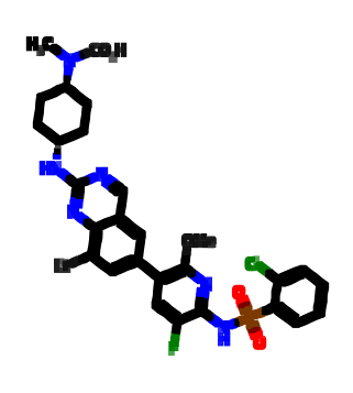 CCc1cc(-c2cc(F)c(NS(=O)(=O)c3ccccc3Cl)nc2OC)cc2cnc(N[C@H]3CC[C@H](N(C)C(=O)O)CC3)nc12